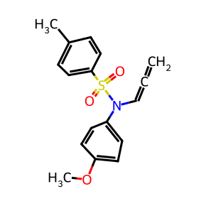 C=C=CN(c1ccc(OC)cc1)S(=O)(=O)c1ccc(C)cc1